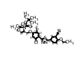 CCOc1ccc(-c2nnc(-c3cc(F)c(OC[C@H]4COC(C)(C)N4C(=O)OC(C)(C)C)cc3Cl)s2)cc1C#N